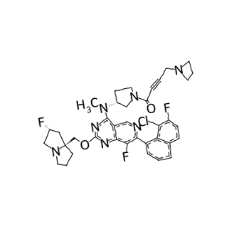 CN(c1nc(OC[C@@]23CCCN2C[C@H](F)C3)nc2c(F)c(-c3cccc4ccc(F)c(Cl)c34)ncc12)[C@@H]1CCN(C(=O)C#CCN2CCC2)C1